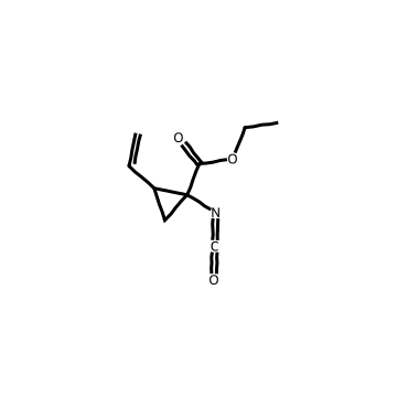 C=CC1CC1(N=C=O)C(=O)OCC